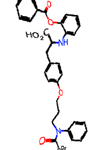 CCCC(=O)N(CCCOc1ccc(CC(Nc2ccccc2OC(=O)c2ccccc2)C(=O)O)cc1)c1ccccc1